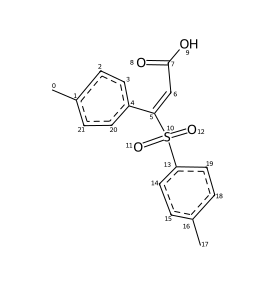 Cc1ccc(/C(=C\C(=O)O)S(=O)(=O)c2ccc(C)cc2)cc1